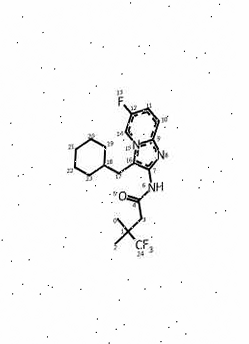 CC(C)(CC(=O)Nc1nc2ccc(F)cn2c1CC1CCCCC1)C(F)(F)F